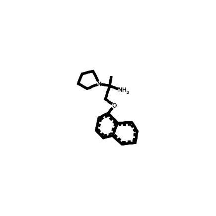 CC(N)(COc1cccc2ccccc12)N1CCCC1